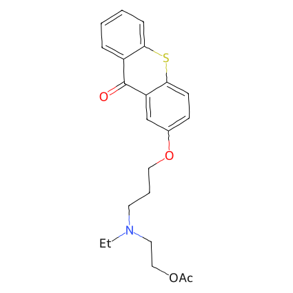 CCN(CCCOc1ccc2sc3ccccc3c(=O)c2c1)CCOC(C)=O